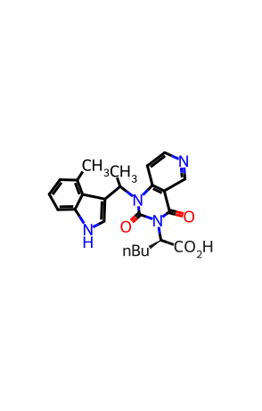 CCCC[C@H](C(=O)O)n1c(=O)c2cnccc2n(C(C)c2c[nH]c3cccc(C)c23)c1=O